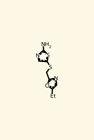 CCc1cnc(CSc2cnc(N)s2)o1